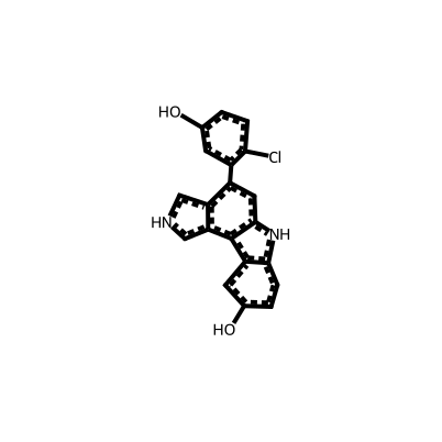 Oc1ccc(Cl)c(-c2cc3[nH]c4ccc(O)cc4c3c3c[nH]cc23)c1